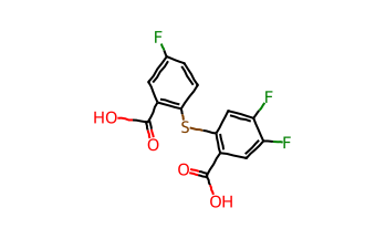 O=C(O)c1cc(F)ccc1Sc1cc(F)c(F)cc1C(=O)O